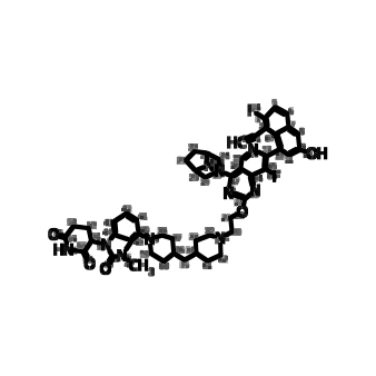 C#Cc1c(F)ccc2cc(O)cc(-c3ncc4c(N5CC6CCC(C5)N6)nc(OCCN5CCC(CC6CCN(c7cccc8c7n(C)c(=O)n8C7CCC(=O)NC7=O)CC6)CC5)nc4c3F)c12